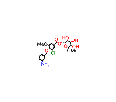 COc1cc(C(=O)OC[C@H]2O[C@H](OC)[C@H](O)[C@@H](O)[C@@H]2O)cc(Cl)c1OCc1cccc(N)c1